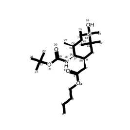 CCCCOC(=O)C[C@H](CC(C)(C)[Si](C)(C)O)[C@H](NC(=O)OC(C)(C)C)[C@@H](C)CC